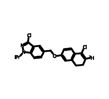 [2H]C1=C(Cl)c2ccc(OCc3ccc4c(c3)c(Cl)nn4C(C)C)cc2CC1